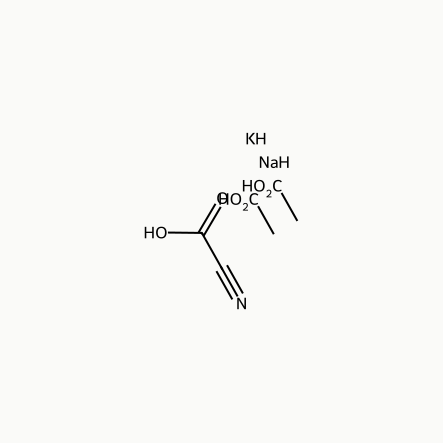 CC(=O)O.CC(=O)O.N#CC(=O)O.[KH].[NaH]